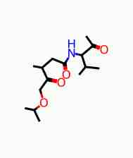 CC(=O)C(NC(=O)CC(C)C(=O)COC(C)C)C(C)C